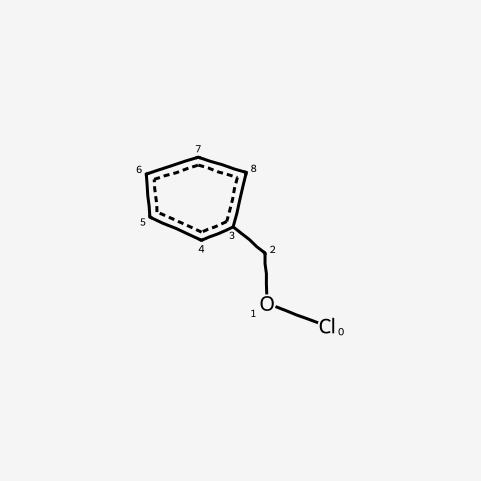 ClOCc1ccccc1